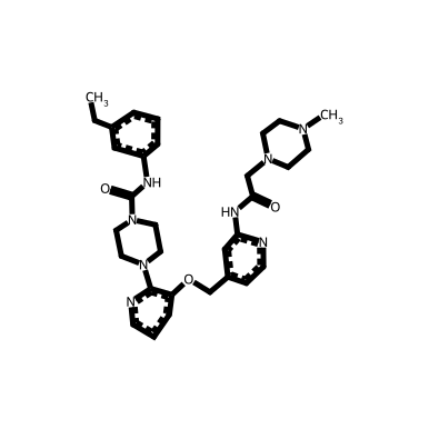 CCc1cccc(NC(=O)N2CCN(c3ncccc3OCc3ccnc(NC(=O)CN4CCN(C)CC4)c3)CC2)c1